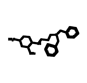 COC1CN(C(=O)O)CCC1NCCCN(Cc1ccccc1)Cc1ccccc1